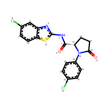 O=C(Nc1nc2cc(Cl)ccc2s1)[C@@H]1CCC(=O)N1c1ccc(Cl)cc1